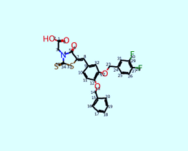 O=C(O)CN1C(=O)/C(=C/c2ccc(OCc3ccccc3)c(OCc3ccc(F)c(F)c3)c2)SC1=S